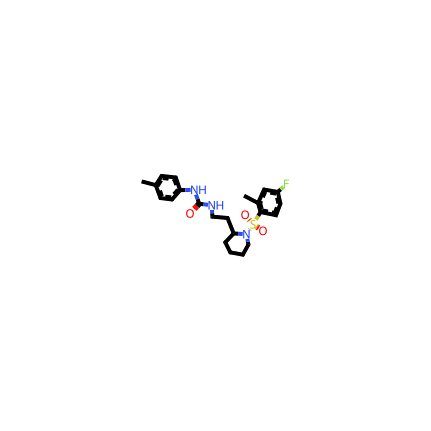 Cc1ccc(NC(=O)NCCC2CCCCN2S(=O)(=O)c2ccc(F)cc2C)cc1